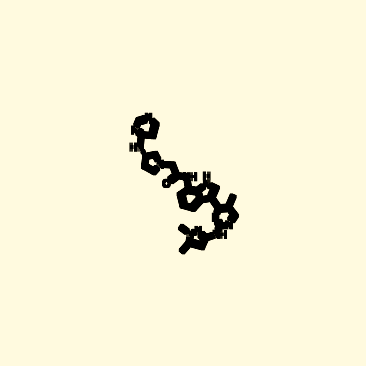 Cc1cnc(Nc2cc(C)n(C)n2)nc1-c1c[nH]c2c(NC(=O)CN3CC[C@@H](Nc4ccncn4)C3)cccc12